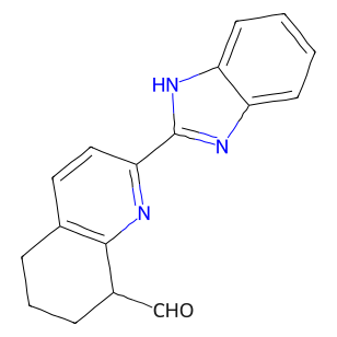 O=CC1CCCc2ccc(-c3nc4ccccc4[nH]3)nc21